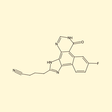 N#CCCCc1nc2c3ccc(F)cc3c3c(=O)[nH]cnc3c2[nH]1